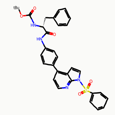 CC(C)(C)OC(=O)N[C@H](Cc1ccccc1)C(=O)Nc1ccc(-c2ccnc3c2ccn3S(=O)(=O)c2ccccc2)cc1